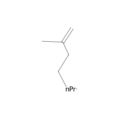 C=C(C)CC[CH]CC